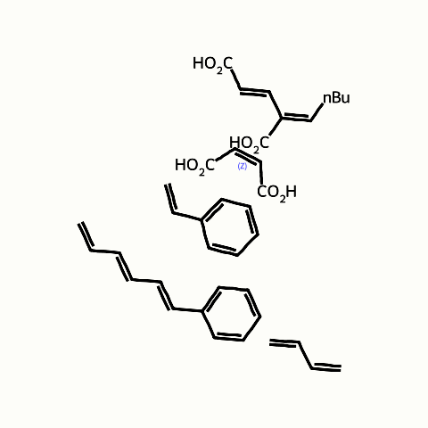 C=CC=C.C=CC=CC=Cc1ccccc1.C=Cc1ccccc1.CCCCC=C(C=CC(=O)O)C(=O)O.O=C(O)/C=C\C(=O)O